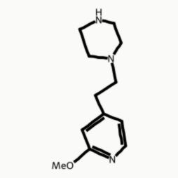 COc1cc(CCN2CCNCC2)ccn1